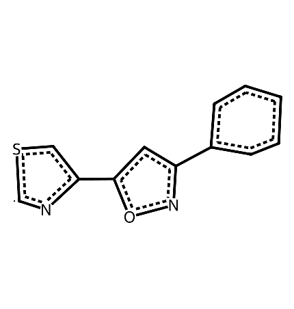 [c]1nc(-c2cc(-c3ccccc3)no2)cs1